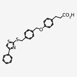 O=C(O)CCc1ccc(OCc2ccc(CSc3nc(-c4ccccc4)cs3)cc2)cc1